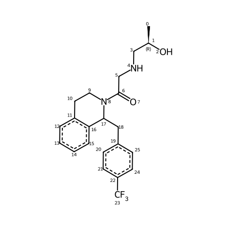 C[C@@H](O)CNCC(=O)N1CCc2ccccc2C1Cc1ccc(C(F)(F)F)cc1